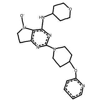 [O-][S+]1CCc2nc(N3CCC(Oc4ccccn4)CC3)nc(NC3CCOCC3)c21